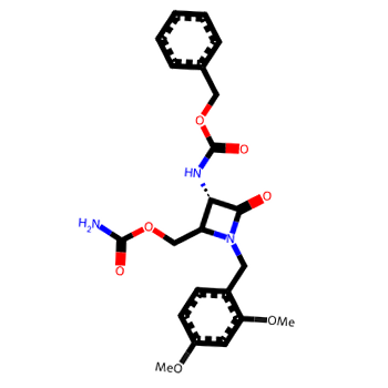 COc1ccc(CN2C(=O)[C@@H](NC(=O)OCc3ccccc3)C2COC(N)=O)c(OC)c1